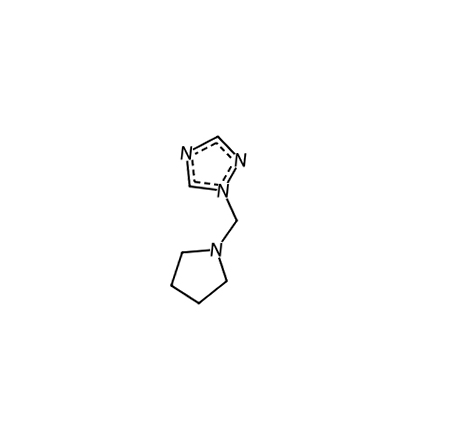 c1ncn(CN2CCCC2)n1